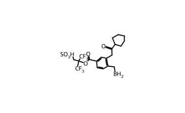 BCc1ccc(C(=O)OC(CS(=O)(=O)O)(C(F)(F)F)C(F)(F)F)cc1CC(=O)C1CCCCC1